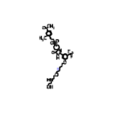 CC(=O)c1ccc(CCS(=O)(=O)N2CCC3(CC2)N=C(c2cc(OCC/C=C/COCCNCCO)cc(C(F)(F)F)c2)NC3=O)c(C)c1